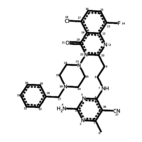 Cc1nc(N)nc(NCCc2nc3c(F)ccc(Cl)c3c(=O)n2N2CCN(Cc3ccccc3)CC2)c1C#N